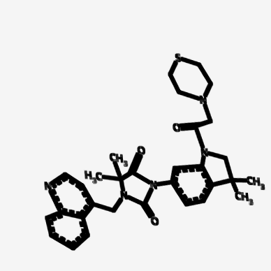 CC1(C)CN(C(=O)CN2CCSCC2)c2cc(N3C(=O)N(Cc4ccnc5ccccc45)C(C)(C)C3=O)ccc21